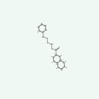 C=C(COCCOc1ccccc1)c1ccc2ccccc2c1